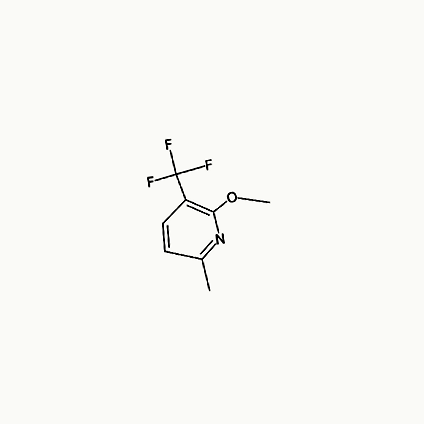 COc1nc(C)ccc1C(F)(F)F